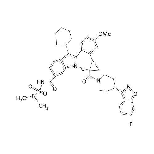 COc1ccc2c(c1)C1CC1(C(=O)N1CCC(c3noc4cc(F)ccc34)CC1)Cn1c-2c(C2CCCCC2)c2ccc(C(=O)NS(=O)(=O)N(C)C)cc21